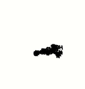 Cc1c(OCCCN2CCOCC2)cccc1-c1cccc(COc2cc(OCc3cncc(C#N)c3)c(CN3CCCC[C@H]3C(=O)O)cc2Cl)c1Cl